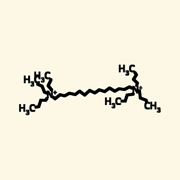 CCCC[N+](CCCC)(CCCC)CCCCCCCCCCCCCCCC[N+](CCCC)(CCCC)CCCC